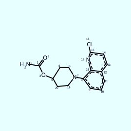 NC(=O)OC1CCN(c2cccc3ccc(Cl)nc23)CC1